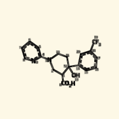 O=C(O)C1CN(c2ccccn2)CCC1(O)c1cccc(C(F)(F)F)c1